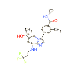 Cc1cc(-c2cnc3c(NCCC(F)(F)F)cc([C@H](C)O)cn23)ccc1C(=O)NC1CC1